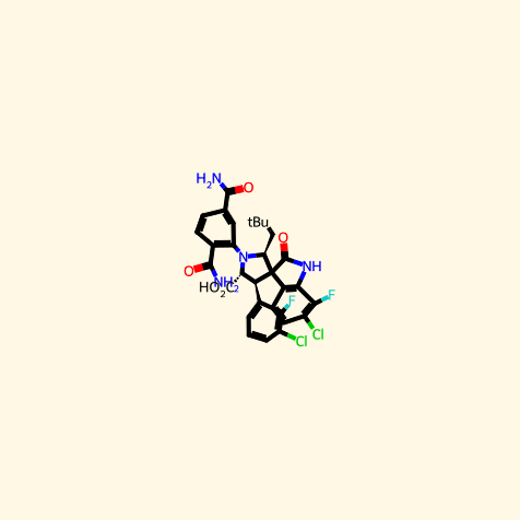 CC(C)(C)C[C@@H]1N(c2cc(C(N)=O)ccc2C(N)=O)[C@@H](C(=O)O)[C@H](c2cccc(Cl)c2F)C12C(=O)Nc1c2ccc(Cl)c1F